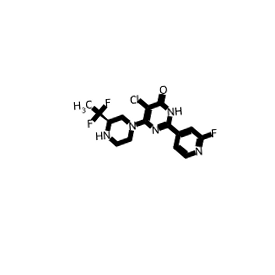 CC(F)(F)[C@H]1CN(c2nc(-c3ccnc(F)c3)[nH]c(=O)c2Cl)CCN1